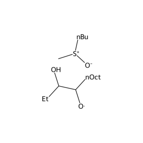 CCCCCCCCC([O])C(O)CC.CCCC[S+](C)[O-]